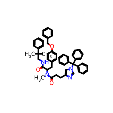 CN(C(=O)CCc1cn(C(c2ccccc2)(c2ccccc2)c2ccccc2)cn1)C(Cc1ccc(OCc2ccccc2)cc1)C(=O)NCC(C)(C)c1ccccc1